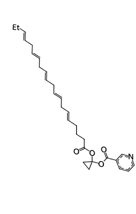 CCC=CCC=CCC=CCC=CCC=CCCCC(=O)OC1(OC(=O)c2cccnc2)CC1